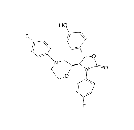 O=C1O[C@@H](c2ccc(O)cc2)[C@H](C2CN(c3ccc(F)cc3)CCO2)N1c1ccc(F)cc1